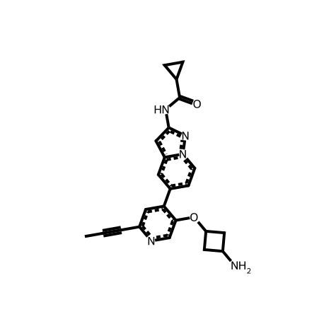 CC#Cc1cc(-c2ccn3nc(NC(=O)C4CC4)cc3c2)c(OC2CC(N)C2)cn1